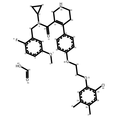 COc1ccc(F)c(CN(C(=O)C2=C(c3ccc(OCCOc4cc(C)c(C)cc4Cl)cc3)CCNC2)C2CC2)c1.O=CO